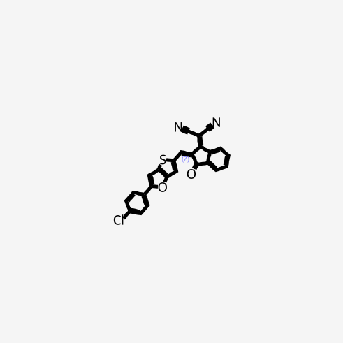 N#CC(C#N)=C1/C(=C/c2cc3oc(-c4ccc(Cl)cc4)cc3s2)C(=O)c2ccccc21